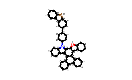 c1ccc2c(c1)oc1c2c2c3ccccc3c3ccccc3c2c2c3ccccc3n(-c3ccc(-c4ccc5sc6ccccc6c5c4)cc3)c12